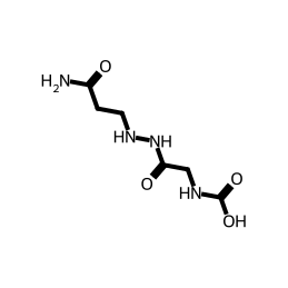 NC(=O)CCNNC(=O)CNC(=O)O